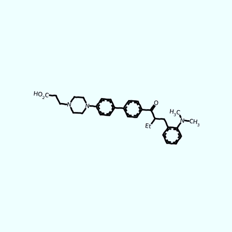 CCC(Cc1ccccc1N(C)C)C(=O)c1ccc(-c2ccc(N3CCN(CCC(=O)O)CC3)cc2)cc1